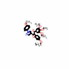 COc1ccc(-n2cc(-c3oc4cc(OC)ccc4c3C(=O)c3cc(OC)c(OC)c(OC)c3)cn2)cc1